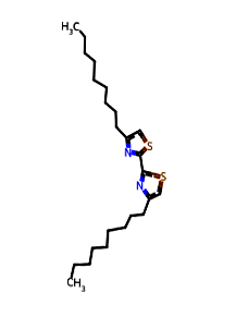 CCCCCCCCCc1csc(-c2nc(CCCCCCCCC)cs2)n1